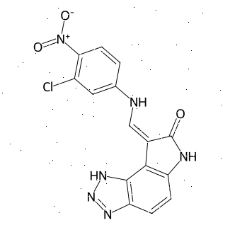 O=C1Nc2ccc3nn[nH]c3c2C1=CNc1ccc([N+](=O)[O-])c(Cl)c1